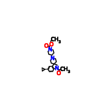 CCOC(=O)N1CCC(N2CCC3(CC2)CN(C(C)=O)c2ccc(C4CC4)cc23)CC1